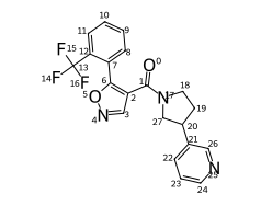 O=C(c1cnoc1-c1ccccc1C(F)(F)F)N1CCC(c2cccnc2)C1